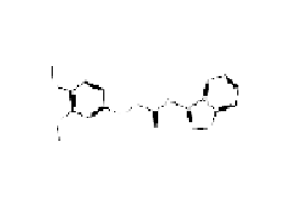 COc1ccc(SNC(=O)Nc2noc3ccccc23)cc1OC